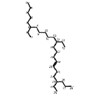 [CH2]CCCCC(CC)CCCCCC(CC)CCCC=CCCC(CC)CC[CH2]